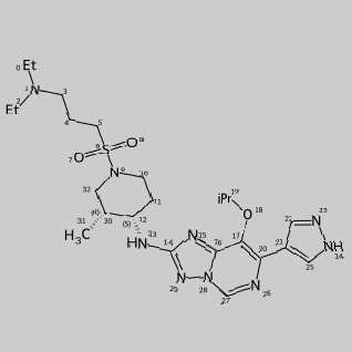 CCN(CC)CCCS(=O)(=O)N1CC[C@H](Nc2nc3c(OC(C)C)c(-c4cn[nH]c4)ncn3n2)[C@H](C)C1